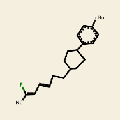 CCCCc1ccc(C2CCC(CCC=CC=C(F)C#N)CC2)cc1